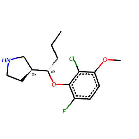 CCC[C@H](Oc1c(F)ccc(OC)c1Cl)[C@H]1CCNC1